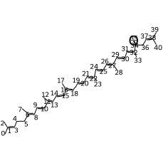 CC(C)=CCC/C(C)=C/C=C/C(C)=C/C=C/C(C)=C/C=C/C=C(C)/C=C/C=C(C)/C=C/C=C(\C)C(=O)CC=C(C)C